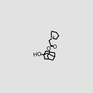 O=C(CN1CCCCC1)OC12CC3CC(CC(O)(C3)C1)C2